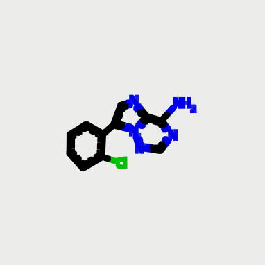 Nc1ncnn2c(-c3ccccc3Cl)cnc12